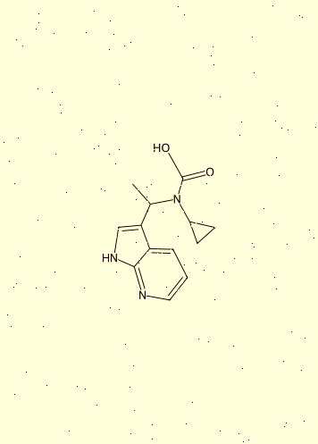 CC(c1c[nH]c2ncccc12)N(C(=O)O)C1CC1